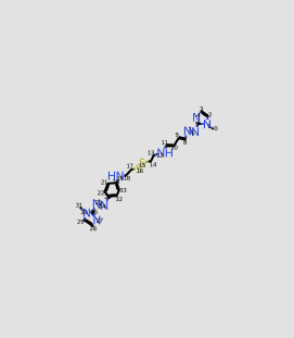 Cn1ccnc1/N=N/C=C/C=C/NCCSSCCNc1ccc(/N=N/c2nccn2C)cc1